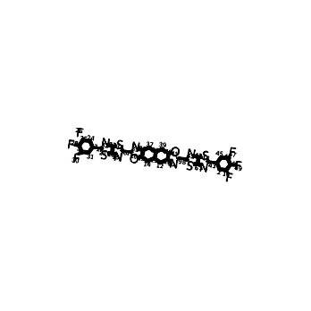 Fc1cc(-c2nc3sc(-c4nc5cc6cc7oc(-c8nc9sc(-c%10cc(F)c(F)c(F)c%10)nc9s8)nc7cc6cc5o4)nc3s2)cc(F)c1F